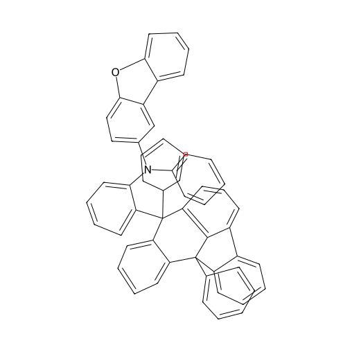 C1=CCC(C2(c3ccccc3N(c3ccccc3)c3ccc4oc5ccccc5c4c3)c3ccccc3C3(c4ccccc4)c4ccccc4-c4cccc2c43)C=C1